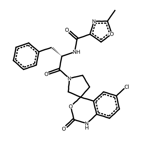 Cc1nc(C(=O)N[C@@H](Cc2ccccc2)C(=O)N2CCC3(C2)OC(=O)Nc2ccc(Cl)cc23)co1